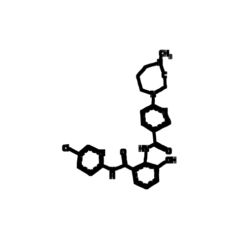 CN1CCCN(c2ccc(C(=O)Nc3c(O)cccc3C(=O)Nc3ccc(Cl)cn3)cn2)CC1